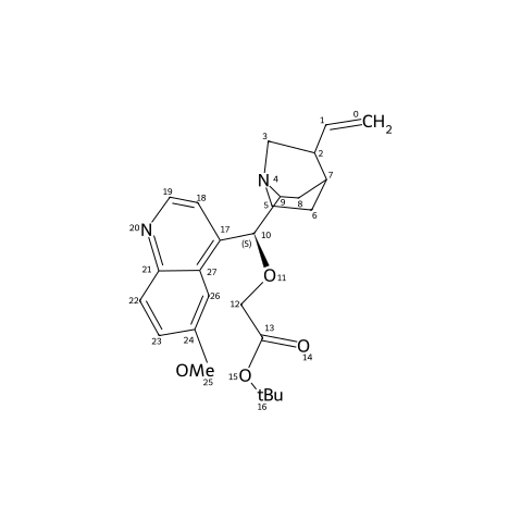 C=CC1CN2CCC1CC2[C@@H](OCC(=O)OC(C)(C)C)c1ccnc2ccc(OC)cc12